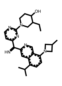 CCC1CN(c2nccc(C(=N)c3cc4c(C(C)C)ccc(N5CC(C)C5)c4cn3)n2)CCC1O